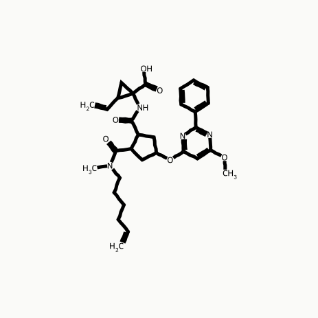 C=CCCCCN(C)C(=O)C1CC(Oc2cc(OC)nc(-c3ccccc3)n2)CC1C(=O)NC1(C(=O)O)CC1C=C